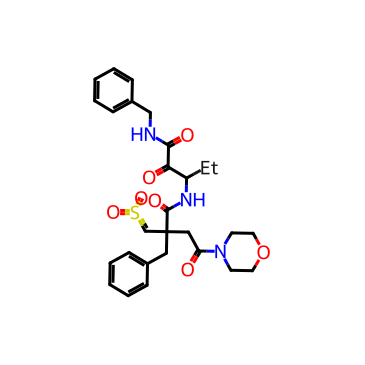 CCC(NC(=O)C(C=S(=O)=O)(CC(=O)N1CCOCC1)Cc1ccccc1)C(=O)C(=O)NCc1ccccc1